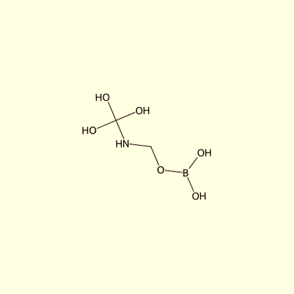 OB(O)OCNC(O)(O)O